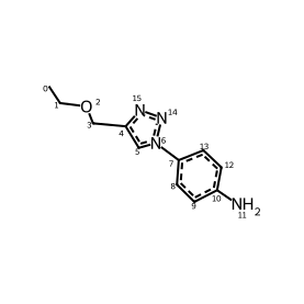 CCOCc1cn(-c2ccc(N)cc2)nn1